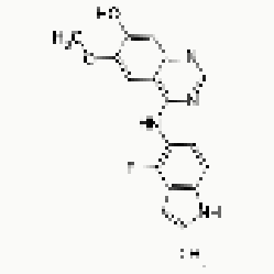 COc1cc2c(Nc3ccc4[nH]c(C)cc4c3F)ncnc2cc1O